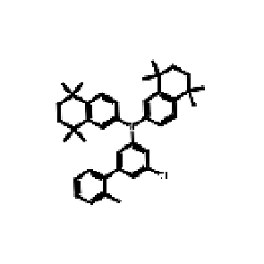 Cc1ccccc1-c1cc(Cl)cc(N(c2ccc3c(c2)C(C)(C)CCC3(C)C)c2ccc3c(c2)C(C)(C)CCC3(C)C)c1